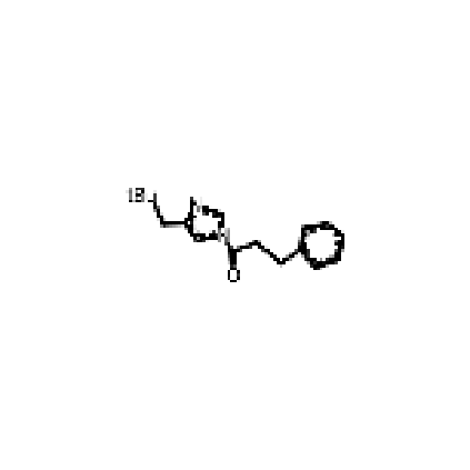 CC(C)(C)Cc1cn(C(=O)CCc2ccccc2)cn1